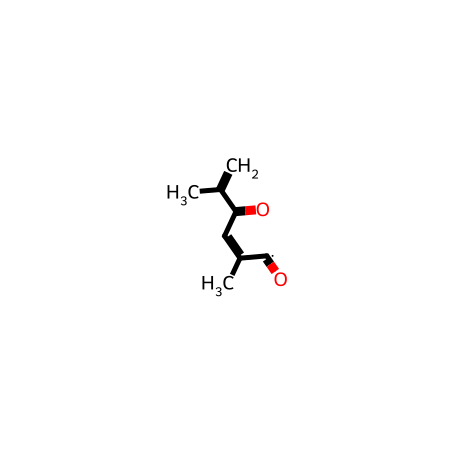 C=C(C)C(=O)C=C(C)[C]=O